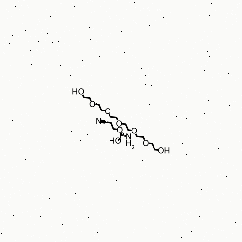 N#CCCOP(N)O.OCCOCCOCCOCCOCCOCCO